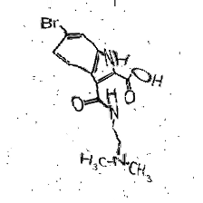 CN(C)CCNC(=O)c1c(C(=O)O)[nH]c2cc(Br)ccc12